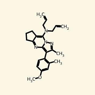 C=CCN(CC=C)c1c2c(nc3c(-c4ccc(OC)cc4C)c(C)nn13)CCC2